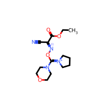 CCOC(=O)/C(C#N)=N/OC(N1CCOCC1)=[N+]1CCCC1